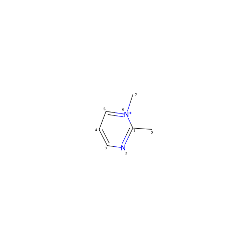 Cc1nccc[n+]1C